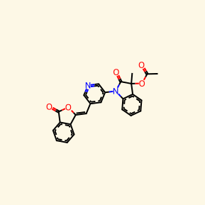 CC(=O)OC1(C)C(=O)N(c2cncc(C=C3OC(=O)c4ccccc43)c2)c2ccccc21